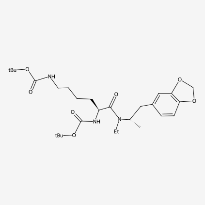 CCN(C(=O)[C@H](CCCCNC(=O)OC(C)(C)C)NC(=O)OC(C)(C)C)[C@@H](C)Cc1ccc2c(c1)OCO2